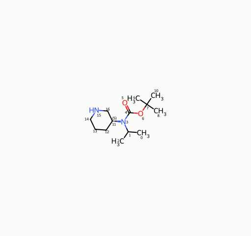 CC(C)N(C(=O)OC(C)(C)C)[C@H]1CCCNC1